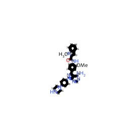 COc1cc(-c2nn(C3CCC(N4CCNCC4)CC3)c3ncnc(N)c23)ccc1NC(=O)c1cc2ccccc2n1C